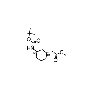 COC(=O)C[C@@H]1CCC[C@@H](NC(=O)OC(C)(C)C)C1